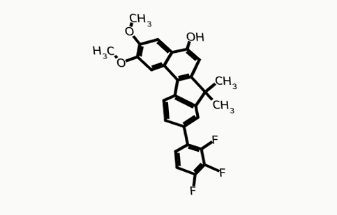 COc1cc2c(O)cc3c(c2cc1OC)-c1ccc(-c2ccc(F)c(F)c2F)cc1C3(C)C